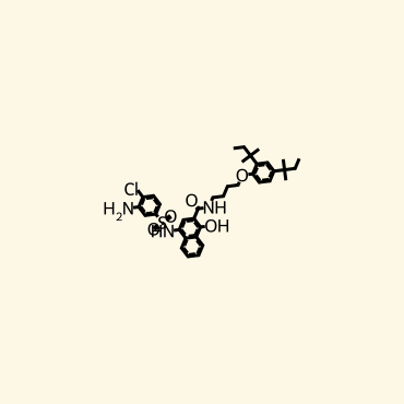 CCC(C)(C)c1ccc(OCCCCNC(=O)c2cc(NS(=O)(=O)c3ccc(Cl)c(N)c3)c3ccccc3c2O)c(C(C)(C)CC)c1